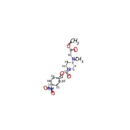 COC(=O)CN(C)C1CCN(C(=O)Oc2ccc([N+](=O)[O-])cc2)CC1